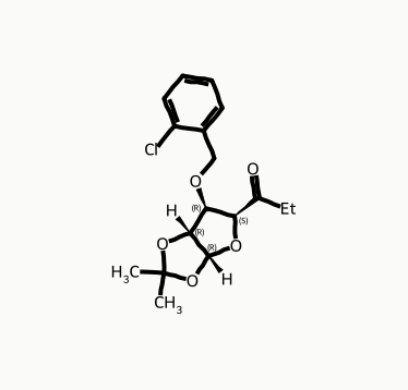 CCC(=O)[C@H]1O[C@@H]2OC(C)(C)O[C@@H]2[C@H]1OCc1ccccc1Cl